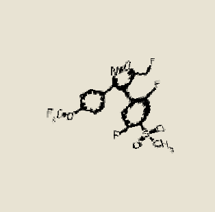 CS(=O)(=O)c1cc(F)c(-c2c(-c3ccc(OC(F)(F)F)cc3)noc2CF)cc1F